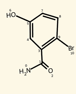 NC(=O)c1cc(O)ccc1Br